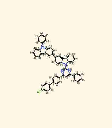 Fc1ccc(-c2ccc(-c3cc(-c4ccccc4)nc(-n4c5ccccc5c5cc(-c6ccc7c(c6)c6ccccc6n7-c6ccccc6)ccc54)n3)cc2)cc1